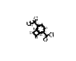 O=C(Cl)c1ccc(C(=O)Cl)c2c1CC2